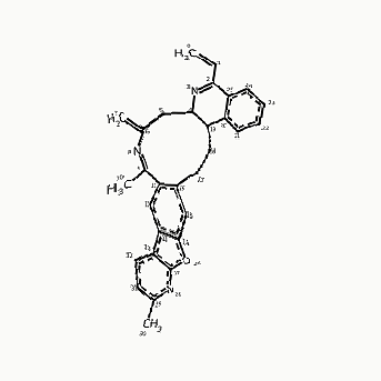 C=CC1=NC2CC(=C)/N=C(/C)c3cc4c(cc3CCC2c2ccccc21)oc1nc(C)ccc14